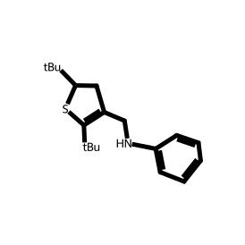 CC(C)(C)C1=C(CNc2ccccc2)CC(C(C)(C)C)S1